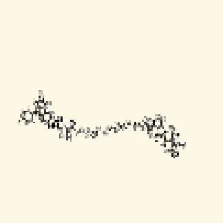 Cc1ccc(-n2c3ccc(C(=O)NC(C)CNC(=O)COCCOCCOCCOCCOCC(=O)Nc4cccc5c4C(=O)N(C4CCC(=O)NC4=O)C5=O)cc3c3cn(C)nc32)cc1